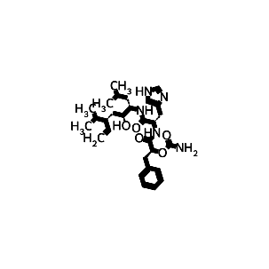 C=C[C@@H](C[C@@H](O)[C@H](CC(C)C)NC(=O)[C@H](Cc1c[nH]cn1)NC(=O)[C@H](Cc1ccccc1)OC(N)=O)C(C)C